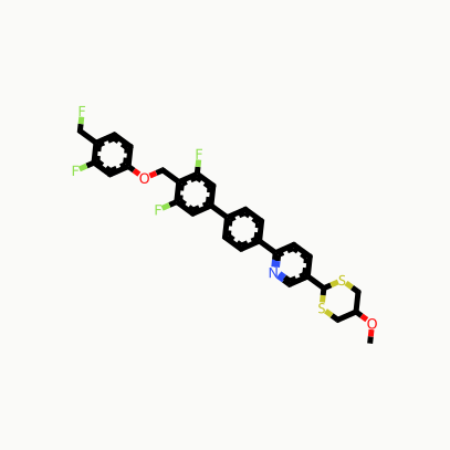 COC1CSC(c2ccc(-c3ccc(-c4cc(F)c(COc5ccc(CF)c(F)c5)c(F)c4)cc3)nc2)SC1